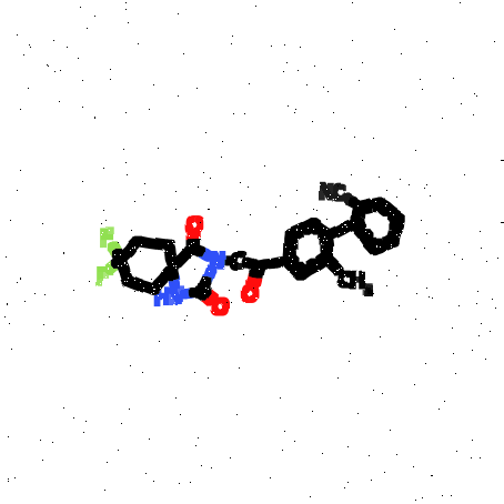 Cc1cc(C(=O)CN2C(=O)NC3(CCC(F)(F)CC3)C2=O)ccc1-c1ccccc1C#N